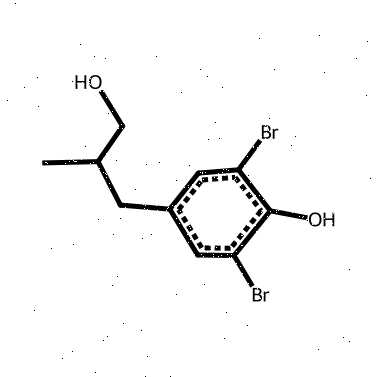 CC(CO)Cc1cc(Br)c(O)c(Br)c1